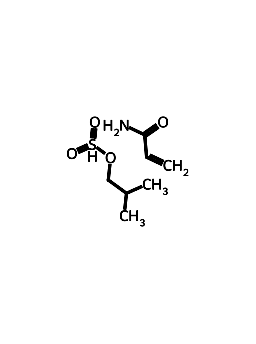 C=CC(N)=O.CC(C)CO[SH](=O)=O